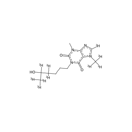 [2H]c1nc2c(c(=O)n(CCCC([2H])([2H])C([2H])(O)C([2H])([2H])[2H])c(=O)n2C)n1C([2H])([2H])[2H]